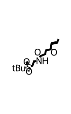 C/C=C/C(=O)CCC(=O)NCCS(=O)(=O)C(C)(C)C